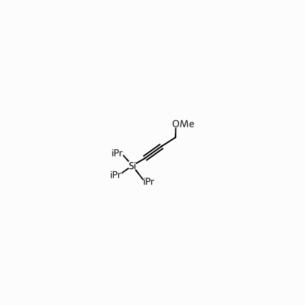 COCC#C[Si](C(C)C)(C(C)C)C(C)C